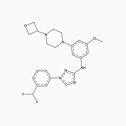 COc1cc(Nc2ncn(-c3cccc(C(F)F)c3)n2)cc(N2CCN(C3COC3)CC2)c1